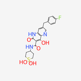 O=C(NC1CCS(O)(O)CC1)c1c(O)c2ncc(Cc3ccc(F)cc3)cc2[nH]c1=O